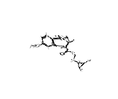 Cc1[nH]c2ccc(O)cc2c1C(=O)OCC1CC1